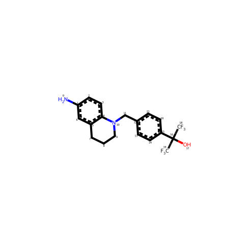 Nc1ccc2c(c1)CCCN2Cc1ccc(C(O)(C(F)(F)F)C(F)(F)F)cc1